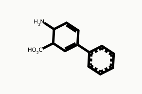 NC1C=CC(c2ccccc2)=CC1C(=O)O